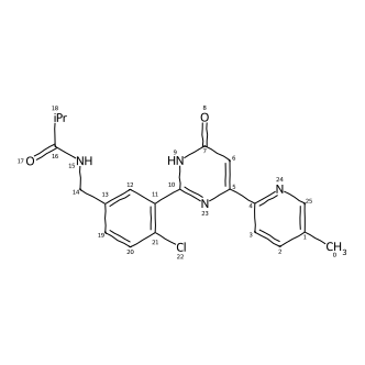 Cc1ccc(-c2cc(=O)[nH]c(-c3cc(CNC(=O)C(C)C)ccc3Cl)n2)nc1